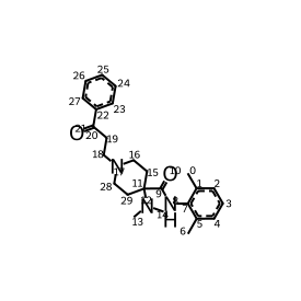 Cc1cccc(C)c1NC(=O)C1(N(C)C)CCN(CCC(=O)c2ccccc2)CC1